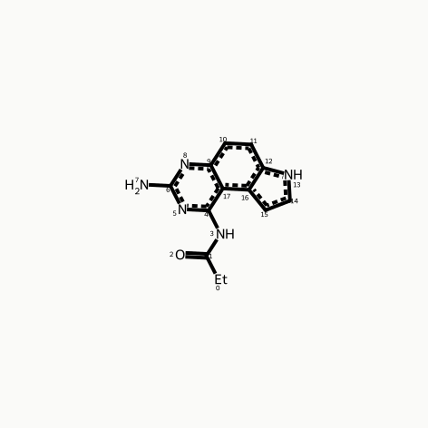 CCC(=O)Nc1nc(N)nc2ccc3[nH]ccc3c12